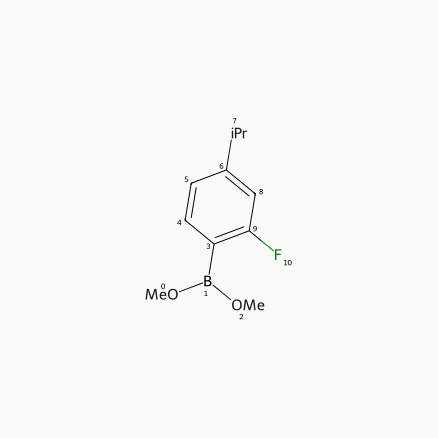 COB(OC)c1ccc(C(C)C)cc1F